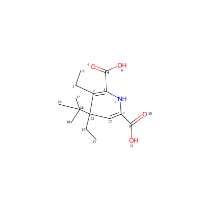 CCC1=C(C(=O)O)NC(C(=O)O)=CC1(CC)C(C)(C)C